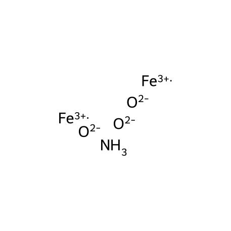 N.[Fe+3].[Fe+3].[O-2].[O-2].[O-2]